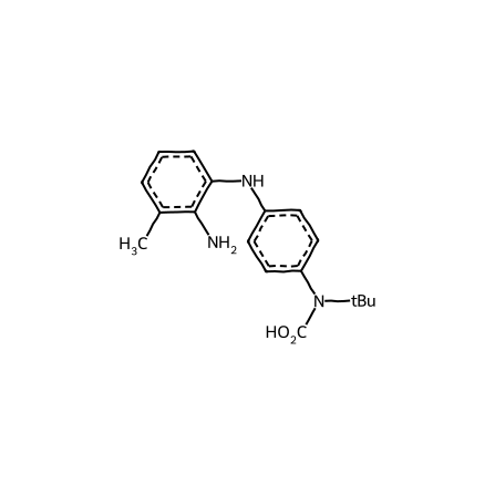 Cc1cccc(Nc2ccc(N(C(=O)O)C(C)(C)C)cc2)c1N